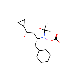 CC1(C)O[C@@H]([C@@H](O)C2CC2)[C@H](CC2CCCCC2)N1OC(=O)O